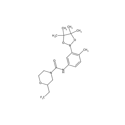 Cc1ccc(NC(=O)N2CCOC(CC(F)(F)F)C2)cc1B1OC(C)(C)C(C)(C)O1